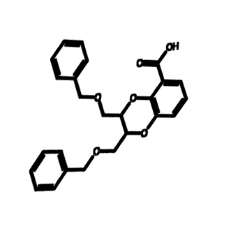 O=C(O)c1cccc2c1OC(COCc1ccccc1)C(COCc1ccccc1)O2